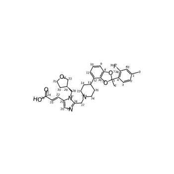 Cc1ccc(C2(C)Oc3cccc(C4CCN(Cc5ncc(/C=C/C(=O)O)n5C[C@H]5CCOC5)CC4)c3O2)c(F)c1